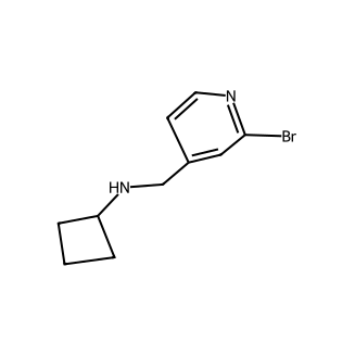 Brc1cc(CNC2CCC2)ccn1